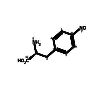 N[C@@H](Cc1ccc(N=O)cc1)C(=O)O